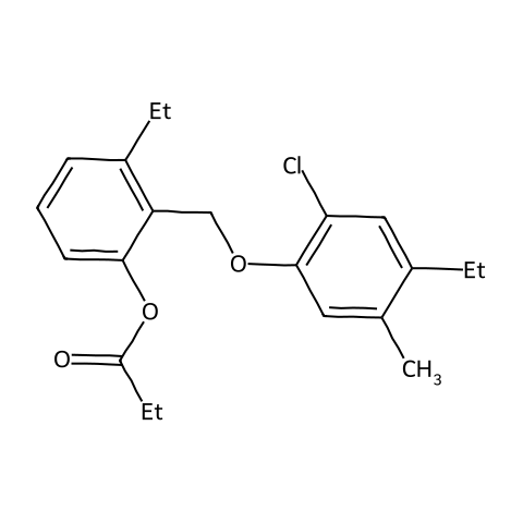 CCC(=O)Oc1cccc(CC)c1COc1cc(C)c(CC)cc1Cl